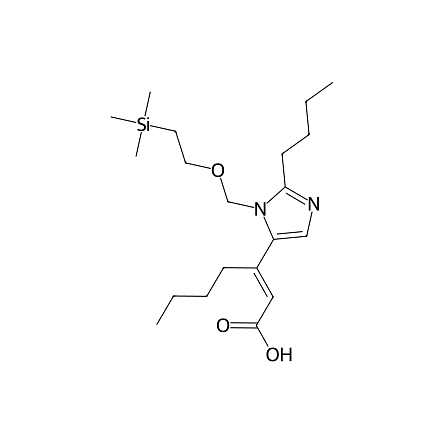 CCCCC(=CC(=O)O)c1cnc(CCCC)n1COCC[Si](C)(C)C